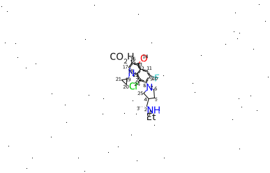 CCN[C@H](C)C1CCN(c2c(F)cc3c(=O)c(C(=O)O)cn(C4CC4)c3c2Cl)C1